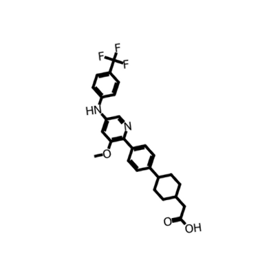 COc1cc(Nc2ccc(C(F)(F)F)cc2)cnc1-c1ccc(C2CCC(CC(=O)O)CC2)cc1